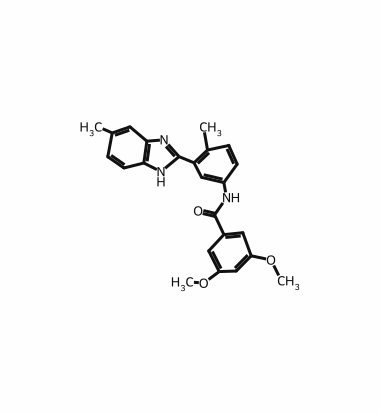 COc1cc(OC)cc(C(=O)Nc2ccc(C)c(-c3nc4cc(C)ccc4[nH]3)c2)c1